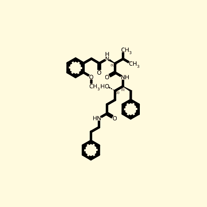 COc1ccccc1CC(=O)N[C@H](C(=O)N[C@@H](Cc1ccccc1)[C@@H](O)CCC(=O)NCCc1ccccc1)C(C)C